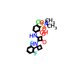 CN(C)S(=O)(=O)c1c(Cl)ccc(Nc2c(NC3(c4c(F)cccc4F)CCC3)c(=O)c2=O)c1O